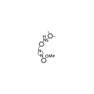 COc1ccccc1N1CCN(Cc2ccc(NSc3cc(C)cc(C)c3)cc2)CC1